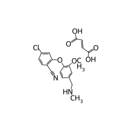 CNCc1ccc(Oc2cc(Cl)ccc2C#N)c(OC)c1.O=C(O)/C=C/C(=O)O